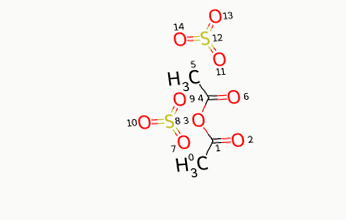 CC(=O)OC(C)=O.O=S(=O)=O.O=S(=O)=O